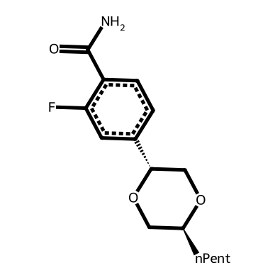 CCCCC[C@H]1CO[C@H](c2ccc(C(N)=O)c(F)c2)CO1